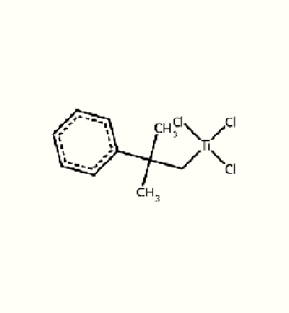 CC(C)([CH2][Ti]([Cl])([Cl])[Cl])c1ccccc1